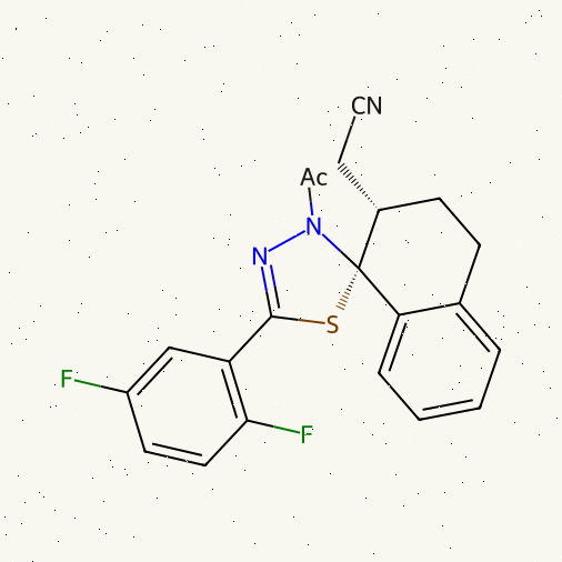 CC(=O)N1N=C(c2cc(F)ccc2F)S[C@]12c1ccccc1CC[C@H]2CC#N